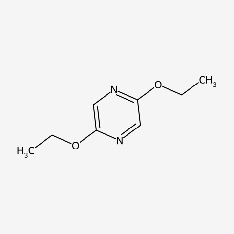 CCOc1cnc(OCC)cn1